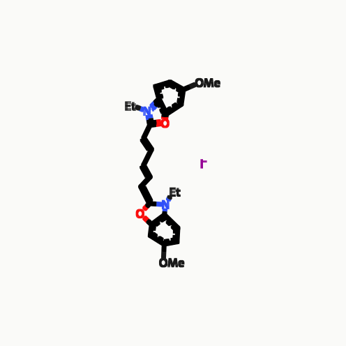 CCN1C(=CC=CC=Cc2oc3cc(OC)ccc3[n+]2CC)Oc2cc(OC)ccc21.[I-]